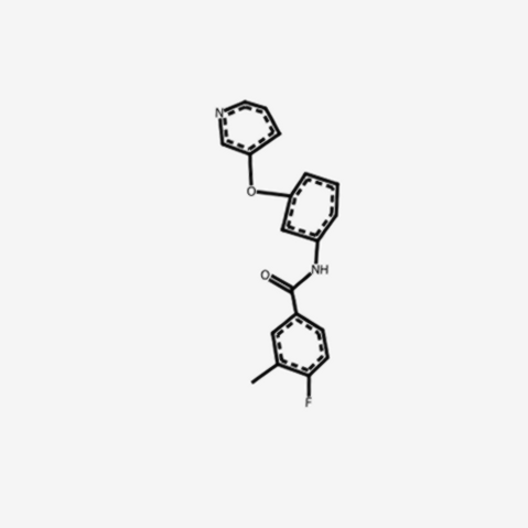 Cc1cc(C(=O)Nc2cccc(Oc3cccnc3)c2)ccc1F